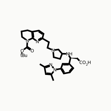 Cc1cc(C)n(-c2cccc([C@H](CC(=O)O)NC3CCN(CCc4ccc5c(n4)N(C(=O)OC(C)(C)C)CCC5)C3)c2)n1